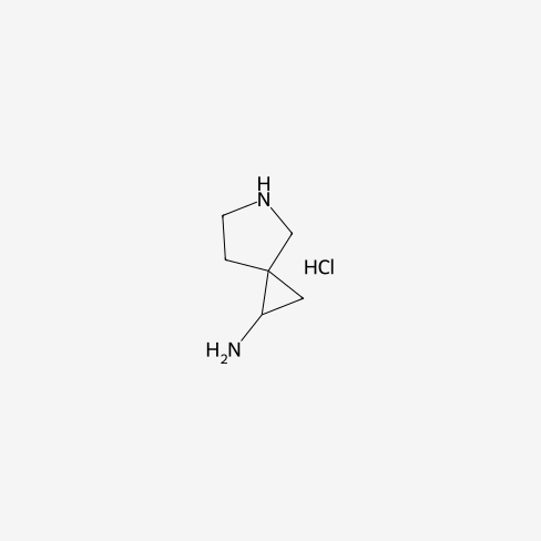 Cl.NC1CC12CCNC2